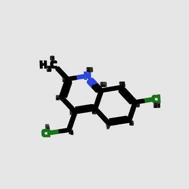 Cc1cc(CCl)c2ccc(Cl)cc2n1